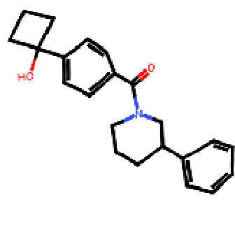 O=C(c1ccc(C2(O)CCC2)cc1)N1CCCC(c2ccccc2)C1